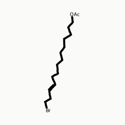 CC(=O)OCCCCCCCCCC/C=C/CCBr